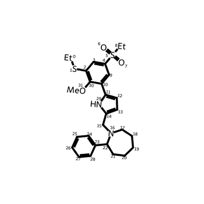 CCSc1cc(S(=O)(=O)CC)cc(-c2ccc(CN3CCCCCC3c3ccccc3)[nH]2)c1OC